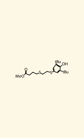 COC(=O)CCCSCCSc1cc(C(C)(C)C)c(O)c(C(C)(C)C)c1